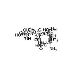 C[C@@H](O)[C@@H]1NC(=O)[C@H](CCCCN)NC(=O)[C@@H](Cc2c[nH]c3ccccc23)NC(=O)[C@H](Cc2ccccc2)NC(=O)[C@@H](NC(=O)[C@@H](Cc2ccccc2)NC(=O)CN(CCN(CCN(CC(=O)O)CC(=O)O)CC(=O)O)CC(=O)O)CSSC[C@@H](C(=O)N[C@H](CO)[C@@H](C)O)NC1=O